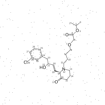 CC(C)OC(=O)COCCCCN1CCCC(=O)[C@H]1C=CC(O)Cc1cccc(Cl)c1